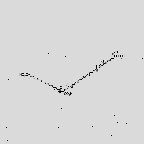 O=C(O)CCCCCCCCCCCCCCCCC(=O)N[C@@H](CCC(=O)NCCCOCCOCCOCCCNC(=O)COCC(=O)NCCCC[C@H](N=P)C(=O)O)C(=O)O